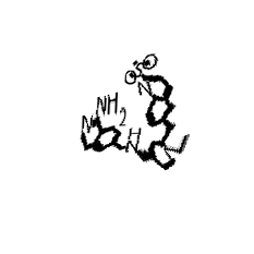 CS(=O)(=O)c1ccc2cc(Cc3cc(CNCc4ccc5c(N)nccc5c4)ccn3)ccc2n1